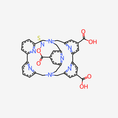 O=C(O)c1cc2nc(c1)-c1cc(C(=O)O)cc(n1)CN1Cc3cc(C(=O)ON=S)cc(n3)CN(Cc3cccc(n3)-c3cccc(n3)C1)C2